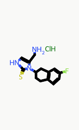 Cl.NCc1c[nH]c(=S)n1C1CCc2ccc(F)cc2C1